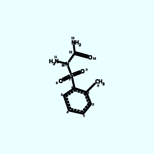 Cc1ccccc1S(=O)(=O)N(N)C(N)=O